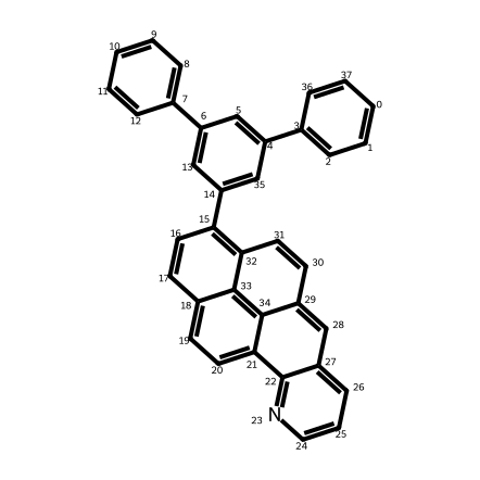 c1ccc(-c2cc(-c3ccccc3)cc(-c3ccc4ccc5c6ncccc6cc6ccc3c4c65)c2)cc1